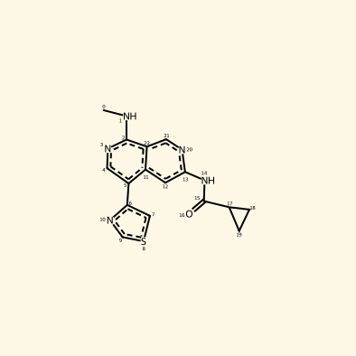 CNc1ncc(-c2cscn2)c2cc(NC(=O)C3CC3)ncc12